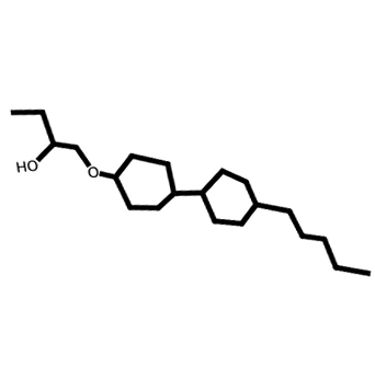 CCCCCC1CCC(C2CCC(OCC(O)CC)CC2)CC1